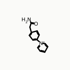 NC(=O)Cc1ccc(-[n+]2ccccc2)cc1